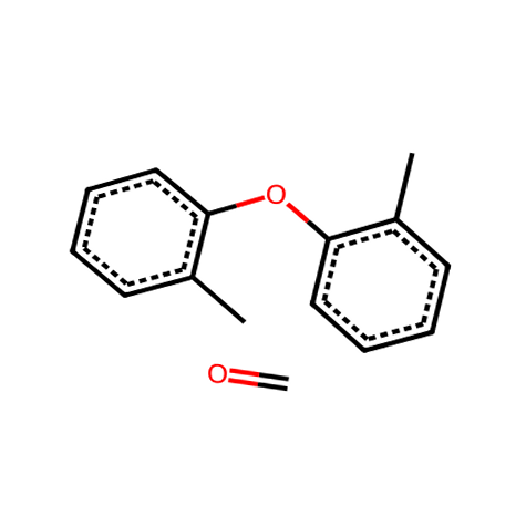 C=O.Cc1ccccc1Oc1ccccc1C